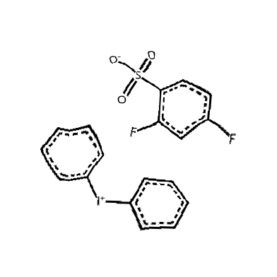 O=S(=O)([O-])c1ccc(F)cc1F.c1ccc([I+]c2ccccc2)cc1